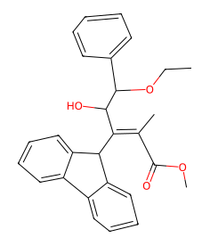 CCOC(c1ccccc1)C(O)C(=C(C)C(=O)OC)C1c2ccccc2-c2ccccc21